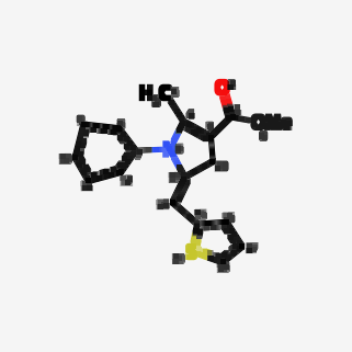 COC(=O)C1=C(C)N(c2ccccc2)/C(=C/c2cccs2)C1